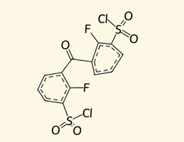 O=C(c1cccc(S(=O)(=O)Cl)c1F)c1cccc(S(=O)(=O)Cl)c1F